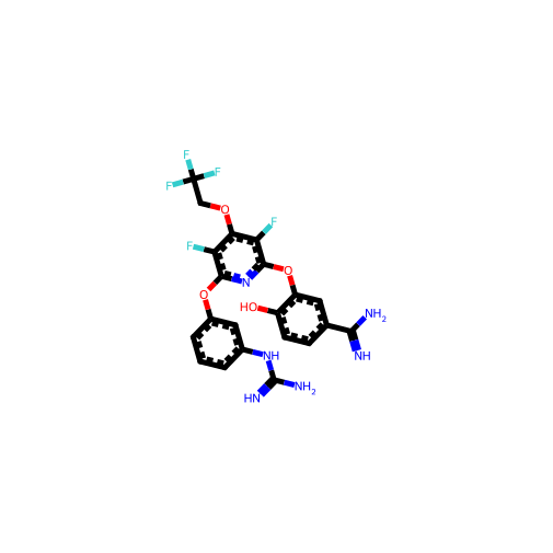 N=C(N)Nc1cccc(Oc2nc(Oc3cc(C(=N)N)ccc3O)c(F)c(OCC(F)(F)F)c2F)c1